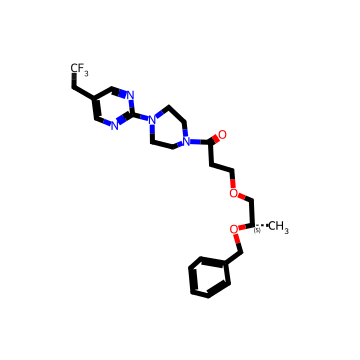 C[C@@H](COCCC(=O)N1CCN(c2ncc(CC(F)(F)F)cn2)CC1)OCc1ccccc1